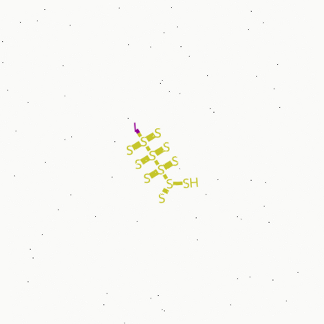 S=S(S)S(=S)(=S)S(=S)(=S)S(=S)(=S)I